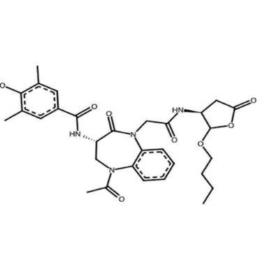 CCCCOC1OC(=O)C[C@@H]1NC(=O)CN1C(=O)[C@@H](NC(=O)c2cc(C)c(O)c(C)c2)CN(C(C)=O)c2ccccc21